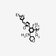 CCn1cc(Cn2ccn(-c3cc(N(C)C4CCOCC4)cc(C(C)(C)F)c3F)c2=O)cn1